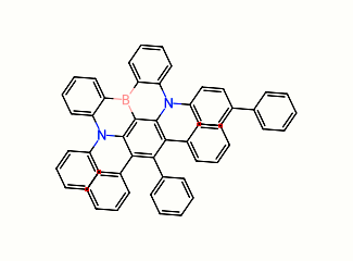 c1ccc(-c2ccc(N3c4ccccc4B4c5ccccc5N(c5ccccc5)c5c4c3c(-c3ccccc3)c(-c3ccccc3)c5-c3ccccc3)cc2)cc1